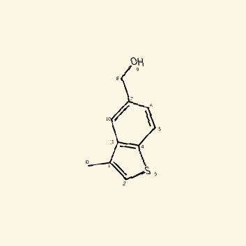 Cc1csc2ccc(CO)cc12